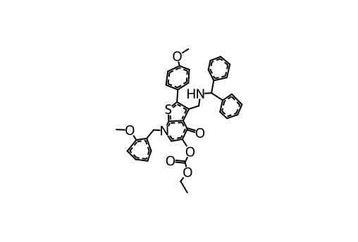 CCOC(=O)Oc1cn(Cc2ccccc2OC)c2sc(-c3ccc(OC)cc3)c(CNC(c3ccccc3)c3ccccc3)c2c1=O